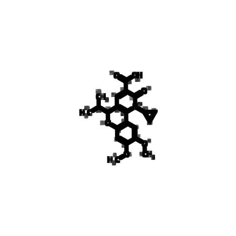 COc1cc2c(cc1OC)-c1c(cc(C(=O)O)c(=O)n1C1CC1)C(C(C)C)O2